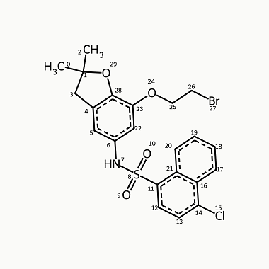 CC1(C)Cc2cc(NS(=O)(=O)c3ccc(Cl)c4ccccc34)cc(OCCBr)c2O1